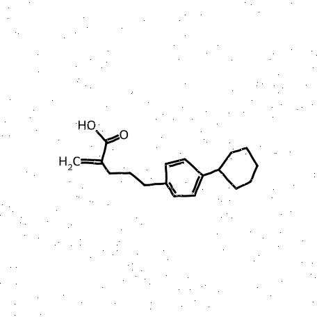 C=C(CCCc1ccc(C2CCCCC2)cc1)C(=O)O